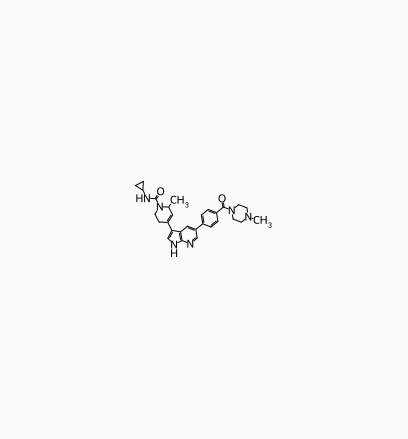 CC1C=C(c2c[nH]c3ncc(-c4ccc(C(=O)N5CCN(C)CC5)cc4)cc23)CCN1C(=O)NC1CC1